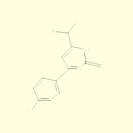 O=c1nc(-c2ccc(Cl)cc2)cc(C(F)F)[nH]1